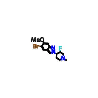 COc1cc2nn([C@H]3CCN(C)C[C@@H]3F)cc2cc1Br